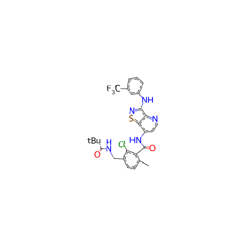 Cc1ccc(CNC(=O)C(C)(C)C)c(Cl)c1C(=O)Nc1ccnc2c(Nc3cccc(C(F)(F)F)c3)nsc12